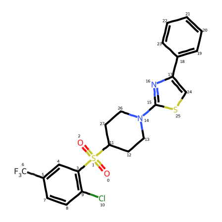 O=S(=O)(c1cc(C(F)(F)F)ccc1Cl)C1CCN(c2nc(-c3ccccc3)cs2)CC1